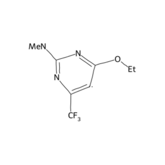 CCOc1[c]c(C(F)(F)F)nc(NC)n1